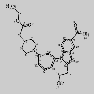 CCOC(=O)CN1CCN(c2cccc(-n3c(CCO)nc4cc(C(=O)O)ccc43)c2)CC1